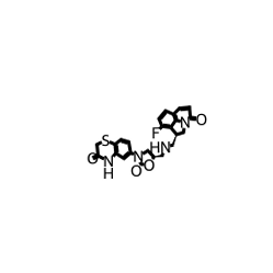 O=C1CSc2ccc(N3C[C@@H](CNC[C@@H]4Cn5c(=O)ccc6ccc(F)c4c65)OC3=O)cc2N1